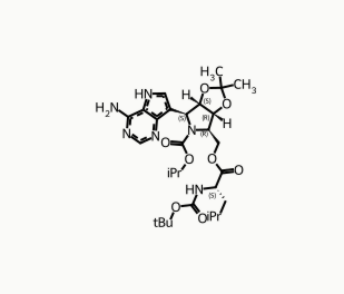 CC(C)C[C@H](NC(=O)OC(C)(C)C)C(=O)OC[C@@H]1[C@H]2OC(C)(C)O[C@H]2[C@H](c2c[nH]c3c(N)ncnc23)N1C(=O)OC(C)C